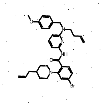 C=CCCN(Cc1ccc(OC)cc1)c1cccc(NC(=O)c2ccc(Br)cc2N2CCC(CC=C)CC2)n1